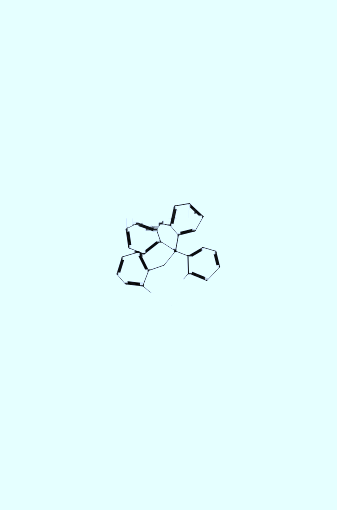 O=C(O)c1ccccc1CC(c1ccccc1C(=O)O)(c1ccccc1C(=O)O)c1ccccc1C(=O)O